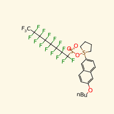 CCCCOc1ccc2cc(S3(OS(=O)(=O)C(F)(F)C(F)(F)C(F)(F)C(F)(F)C(F)(F)C(F)(F)C(F)(F)C(F)(F)F)CCCC3)ccc2c1